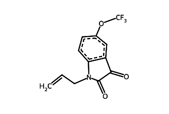 C=CCN1C(=O)C(=O)c2cc(OC(F)(F)F)ccc21